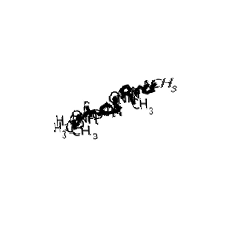 CCc1nn(Cc2cccc(C)n2)c2cccc(NC(=O)c3cnc4cc(OCC(F)(F)CNC(=O)OC(C)(C)C)ccn34)c12